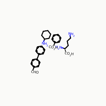 NC1CCCCC1.NCCC[C@H](N)C(=O)O.O=C(O)c1ccccc1.O=Cc1ccc(-c2ccccc2)cc1